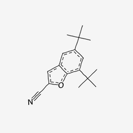 CC(C)(C)c1cc(C(C)(C)C)c2oc(C#N)cc2c1